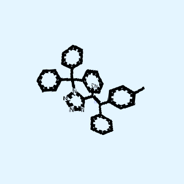 Cc1ccc(/C(=C(\C#N)c2nnnn2C(c2ccccc2)(c2ccccc2)c2ccccc2)c2ccccc2)cc1